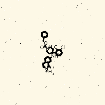 Cc1c(Cl)cccc1C1(Nc2ccc3ccn(C)c(=O)c3c2)CCN(C(=O)OCc2ccccc2)CC1